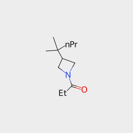 CCCC(C)(C)C1CN(C(=O)CC)C1